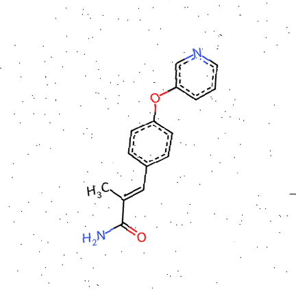 C/C(=C\c1ccc(Oc2cccnc2)cc1)C(N)=O